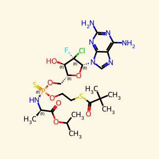 CC(C)OC(=O)[C@@H](C)N[P@](=S)(OCCSC(=O)C(C)(C)C)OC[C@H]1O[C@@H](n2cnc3c(N)nc(N)nc32)[C@](F)(Cl)[C@@H]1O